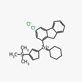 C[Si](C)(C)C1=CC[C]([Zr+2](=[C]2CCCCC2)[c]2cccc3c2Cc2ccccc2-3)=C1.[Cl-].[Cl-]